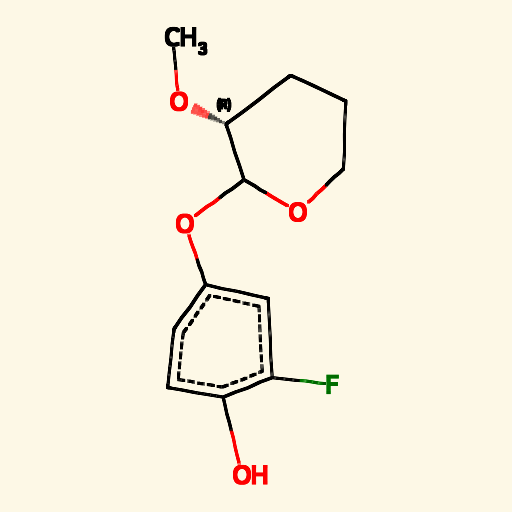 CO[C@@H]1CCCOC1Oc1ccc(O)c(F)c1